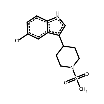 CS(=O)(=O)N1CCC(c2c[nH]c3ccc(Cl)cc23)CC1